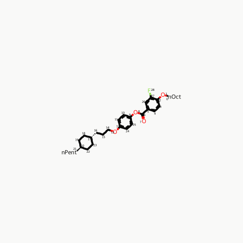 CCCCCCCCOc1ccc(C(=O)Oc2ccc(OCCC[C@H]3CC[C@H](CCCCC)CC3)cc2)cc1F